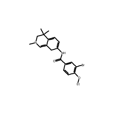 CCOc1ccc(C(=O)NC2=CC=C3C(=CN(C)CC3(C)C)C2)cc1Br